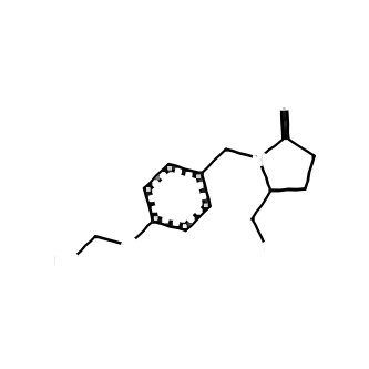 O=C(O)CC1CCC(=O)N1Cc1ccc(OCC(F)(F)F)cc1